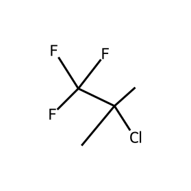 CC(C)(Cl)C(F)(F)F